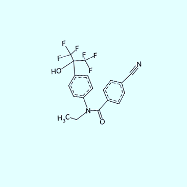 CCN(C(=O)c1ccc(C#N)cc1)c1ccc(C(O)(C(F)(F)F)C(F)(F)F)cc1